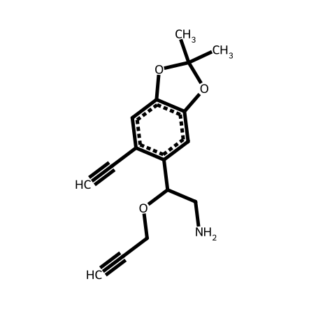 C#CCOC(CN)c1cc2c(cc1C#C)OC(C)(C)O2